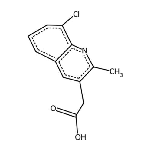 Cc1nc2c(Cl)cccc2cc1CC(=O)O